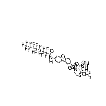 CC1(C)SCCN(S(=O)(=O)c2ccc3oc4cc(NC(=O)C(F)(F)C(F)(F)C(F)(F)C(F)(F)C(F)(F)C(F)(F)C(F)(F)F)ccc4c3c2)C1C(=O)NO